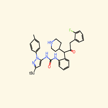 Cc1ccc(-n2nc(C(C)(C)C)cc2NC(=O)Nc2ccccc2C(C(=O)Cc2ccccc2F)C2CCNCC2)cc1